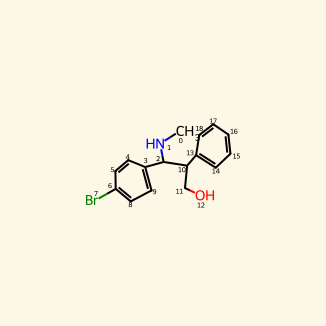 CNC(c1ccc(Br)cc1)C(CO)c1ccccc1